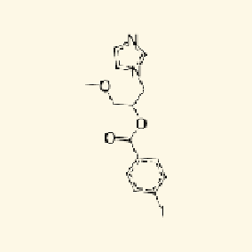 COCC(Cn1ccnc1)OC(=O)c1ccc(I)cc1